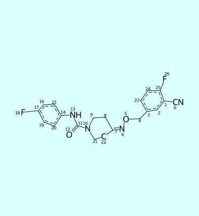 N#Cc1cc(CON=C2CCN(C(=O)Nc3ccc(F)cc3)CC2)ccc1F